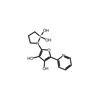 Oc1c(-c2ccccn2)oc(N2CCCS2(O)O)c1O